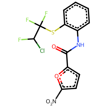 O=C(Nc1ccccc1SC(F)(F)C(F)Cl)c1ccc([N+](=O)[O-])o1